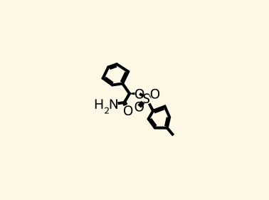 Cc1ccc(S(=O)(=O)O[C@@H](C(N)=O)c2ccccc2)cc1